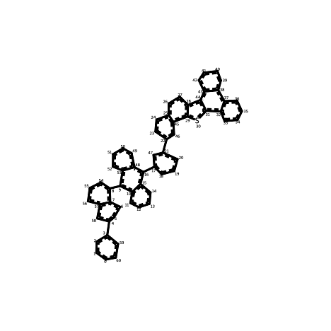 c1ccc(-c2ccc3c(-c4c5ccccc5c(-c5cccc(-c6ccc7ccc8c(sc9c%10ccccc%10c%10ccccc%10c89)c7c6)c5)c5ccccc45)cccc3c2)cc1